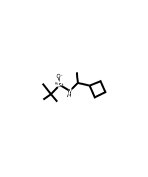 CC(N[S@@+]([O-])C(C)(C)C)C1CCC1